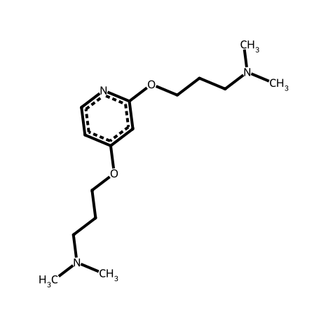 CN(C)CCCOc1ccnc(OCCCN(C)C)c1